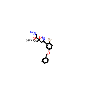 [N-]=[N+]=CC(=O)C1(CC(=O)O)CC(c2cc(OCc3ccccc3)ccc2Br)=NO1